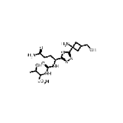 CC(O)C(NC(=O)NC(CCC(N)=O)c1nnc(C2(N)CC(CO)C2)o1)C(=O)O